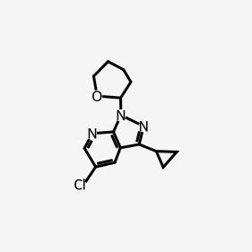 Clc1cnc2c(c1)c(C1CC1)nn2C1CCCCO1